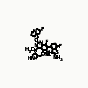 CN1c2nc(OC[C@@]34CCCN3C[C@H](F)C4)nc3c(F)c(-c4ccc(F)c5sc(N)c(C#N)c45)c(Cl)c(c23)OCC2CNCC21